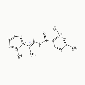 C/C(=N\NC(=O)c1ccc(C)cc1C)c1ccccc1O